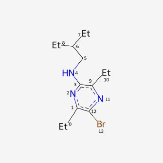 CCc1nc(NCC(CC)CC)c(CC)nc1Br